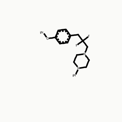 CC(C)Oc1ccc(CC(F)(F)CN2CCN(C(C)C)CC2)cc1